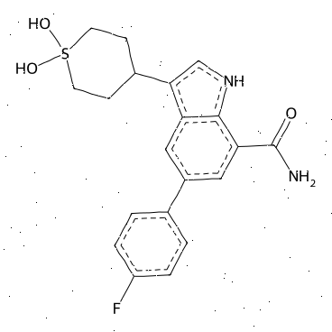 NC(=O)c1cc(-c2ccc(F)cc2)cc2c(C3CCS(O)(O)CC3)c[nH]c12